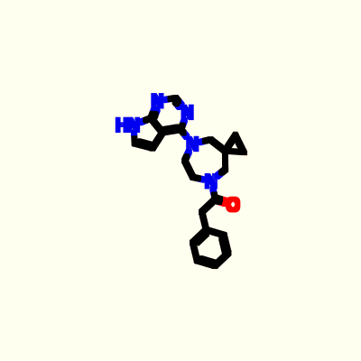 O=C(Cc1ccccc1)N1CCN(c2ncnc3[nH]ccc23)CC2(CC2)C1